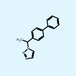 CC(c1ccc(-c2ccccc2)cc1)n1ccnn1